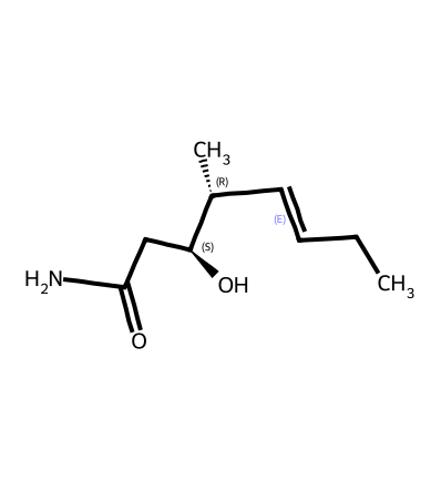 CC/C=C/[C@@H](C)[C@@H](O)CC(N)=O